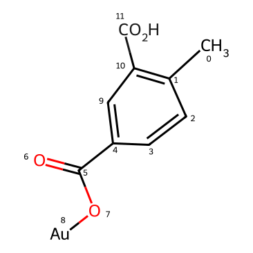 Cc1ccc(C(=O)[O][Au])cc1C(=O)O